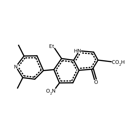 CCc1c(-c2cc(C)nc(C)c2)c([N+](=O)[O-])cc2c(=O)c(C(=O)O)c[nH]c12